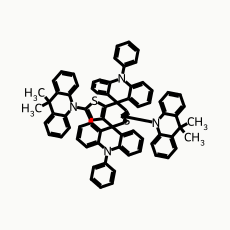 CC1(C)c2ccccc2N(c2cc3c(s2)C2(c4ccccc4N(c4ccccc4)c4ccccc42)c2cc(N4c5ccccc5C(C)(C)c5ccccc54)sc2C32c3ccccc3N(c3ccccc3)c3ccccc32)c2ccccc21